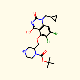 CC(C)(C)OC(=O)N1CCNCC1COc1c(Cl)c(Br)cc2c1c(O)nc(=O)n2CC1CC1